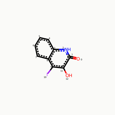 O=c1[nH]c2ccccc2c(I)c1O